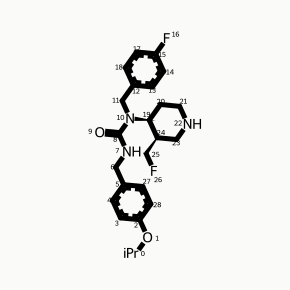 CC(C)Oc1ccc(CNC(=O)N(Cc2ccc(F)cc2)[C@H]2CCNC[C@H]2CF)cc1